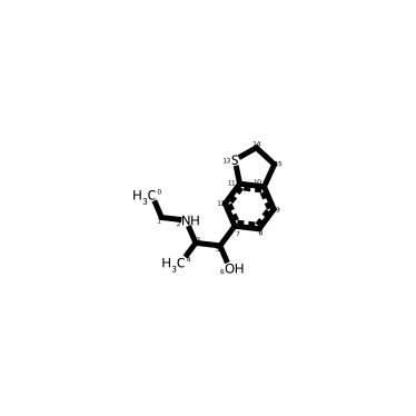 CCNC(C)C(O)c1ccc2c(c1)SCC2